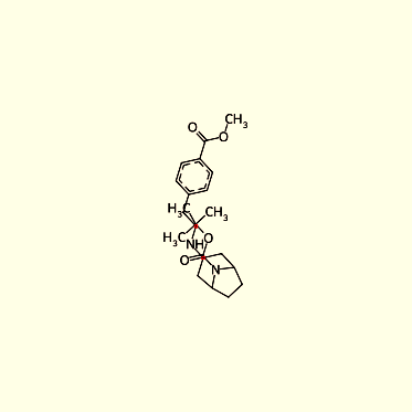 COC(=O)c1ccc(CCNC2CC3CCC(C2)N3C(=O)OC(C)(C)C)cc1